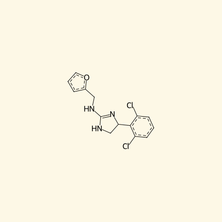 Clc1cccc(Cl)c1C1CNC(NCc2ccco2)=N1